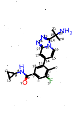 Cc1c(F)cc(C(=O)NC2CC2)cc1-c1ccn2c(C(C)(C)N)nnc2c1